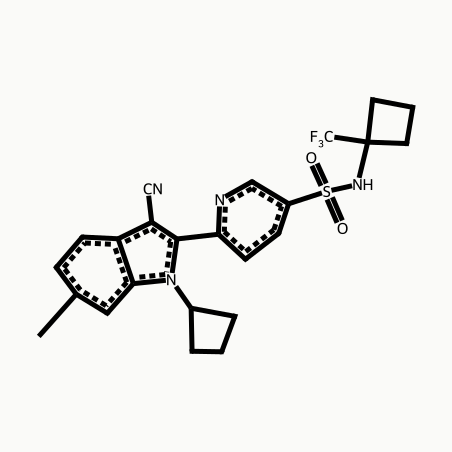 Cc1ccc2c(C#N)c(-c3ccc(S(=O)(=O)NC4(C(F)(F)F)CCC4)cn3)n(C3CCC3)c2c1